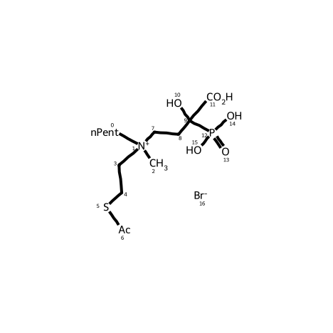 CCCCC[N+](C)(CCSC(C)=O)CCC(O)(C(=O)O)P(=O)(O)O.[Br-]